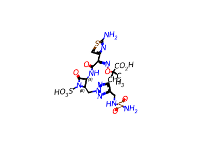 CC(C)(ON=C(C(=O)N[C@@H]1C(=O)N(S(=O)(=O)O)[C@@H]1Cn1ncc(CNS(N)(=O)=O)n1)c1csc(N)n1)C(=O)O